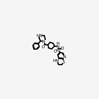 O=C(C1CCC(NS(=O)(=O)c2cnc3c(c2)NCCS3)CC1)N1CCNCC1c1ccccc1